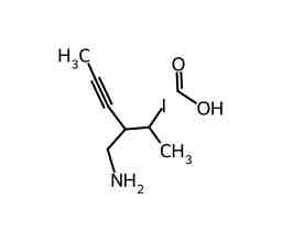 CC#CC(CN)C(C)I.O=CO